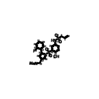 C=CCS(=O)(=O)Nc1cccc(S(=O)(=O)n2cc(CNC)cc2-c2ccccc2F)c1.Cl